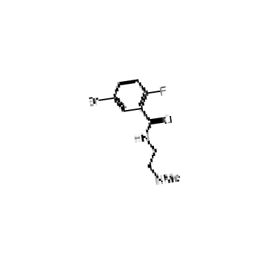 CNCCNC(=O)c1cc(Br)ccc1F